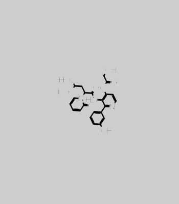 CCC(=O)Oc1ccnc(-c2cccc(C)c2)c1NC(=O)C(CC(C)C)n1ccccc1=O